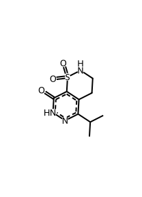 CC(C)c1n[nH]c(=O)c2c1CCNS2(=O)=O